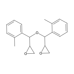 Cc1ccccc1C(OC(c1ccccc1C)C1CO1)C1CO1